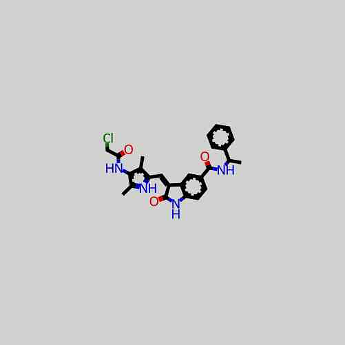 Cc1[nH]c(C=C2C(=O)Nc3ccc(C(=O)NC(C)c4ccccc4)cc32)c(C)c1NC(=O)CCl